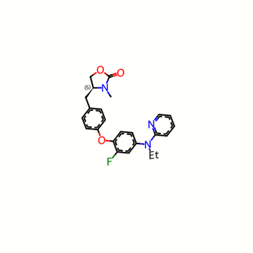 CCN(c1ccc(Oc2ccc(C[C@H]3COC(=O)N3C)cc2)c(F)c1)c1ccccn1